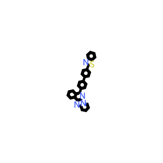 c1ccc2sc(-c3ccc(-c4ccc(-c5nc6c(nc7ccccn76)c6ccccc56)cc4)cc3)nc2c1